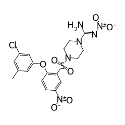 Cc1cc(Cl)cc(Oc2ccc([N+](=O)[O-])cc2S(=O)(=O)N2CCN(/C(N)=N/[N+](=O)[O-])CC2)c1